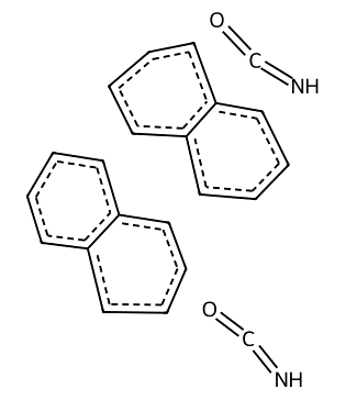 N=C=O.N=C=O.c1ccc2ccccc2c1.c1ccc2ccccc2c1